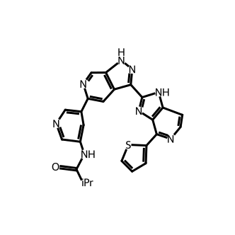 CC(C)C(=O)Nc1cncc(-c2cc3c(-c4nc5c(-c6cccs6)nccc5[nH]4)n[nH]c3cn2)c1